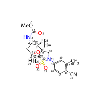 COC(=O)N[C@H]1C[C@@H]2O[C@H]1[C@H]1CN(c3ccc(C#N)c(C(F)(F)F)c3)S(=O)(=O)[C@H]12